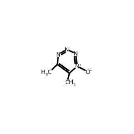 Cc1nnn[n+]([O-])c1C